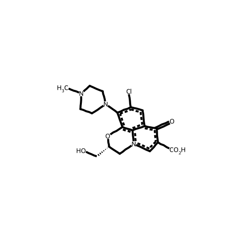 CN1CCN(c2c(Cl)cc3c(=O)c(C(=O)O)cn4c3c2O[C@@H](CO)C4)CC1